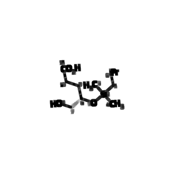 CC(C)C[Si](C)(C)O[C@H](CO)CCC(=O)O